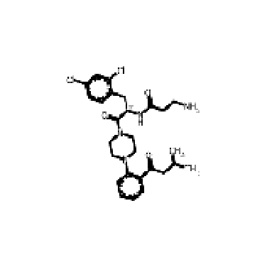 CC(C)CC(=O)c1ccccc1N1CCN(C(=O)[C@@H](Cc2ccc(Cl)cc2Cl)NC(=O)CCN)CC1